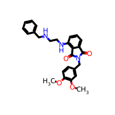 COc1ccc(CN2C(=O)c3cccc(NCCNCc4ccccc4)c3C2=O)cc1OC